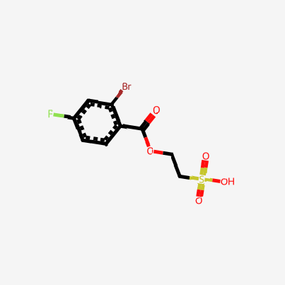 O=C(OCCS(=O)(=O)O)c1ccc(F)cc1Br